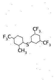 CC1CC(C(F)(F)F)CCC1SC1CC(C(F)(F)F)CC(C(F)(F)F)C1